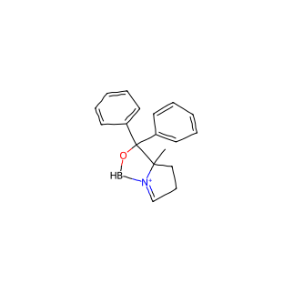 CC12CCC=[N+]1BOC2(c1ccccc1)c1ccccc1